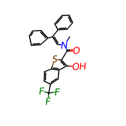 CN(C=C(c1ccccc1)c1ccccc1)C(=O)c1sc2ccc(C(F)(F)F)cc2c1O